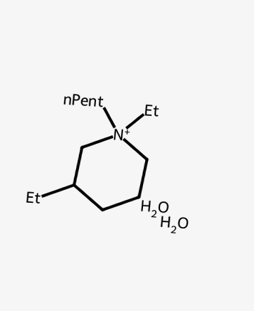 CCCCC[N+]1(CC)CCCC(CC)C1.O.O